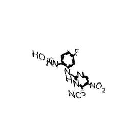 N#CSc1nc(Nc2cc(F)ccc2NC(=O)O)ncc1[N+](=O)[O-]